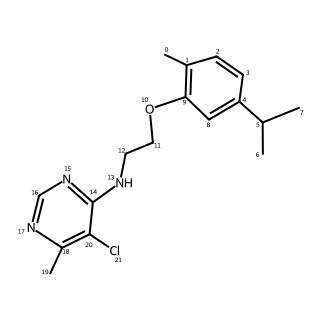 Cc1ccc(C(C)C)cc1OCCNc1ncnc(C)c1Cl